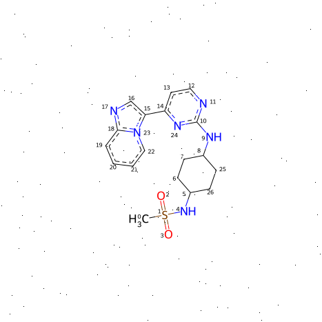 CS(=O)(=O)NC1CCC(Nc2nccc(-c3cnc4ccccn34)n2)CC1